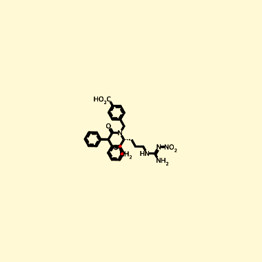 NC(=O)[C@@H](CCCNC(N)=N[N+](=O)[O-])N(Cc1ccc(C(=O)O)cc1)C(=O)C(c1ccccc1)c1ccccc1